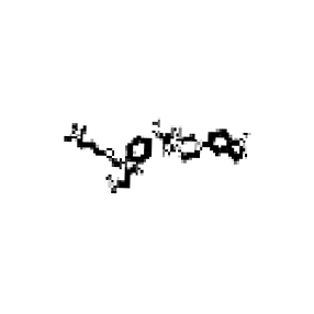 CN(C)Cc1nc2cc(Nc3nc4n(n3)C=CN(c3ccc5c(cnn5C)c3)C4)ccc2n1COCCC[Si](C)(C)C